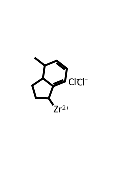 CC1C=CC=C2[CH]([Zr+2])CCC21.[Cl-].[Cl-]